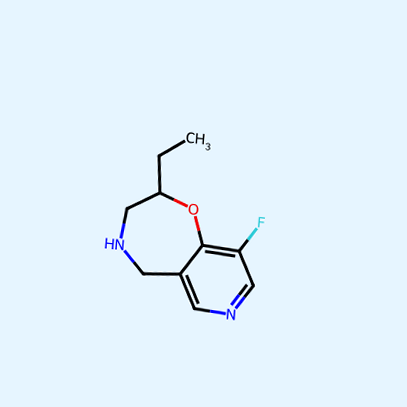 CCC1CNCc2cncc(F)c2O1